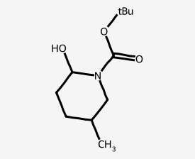 CC1CCC(O)N(C(=O)OC(C)(C)C)C1